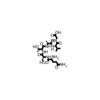 CC(C)[C@H](NC(=O)[C@H](C)NC(=O)[C@@H](NC(=O)[C@H](CO)NC(=O)[C@@H](N)CCC(N)=O)[C@@H](C)O)C(=O)NCC(=O)O